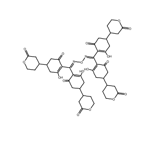 O=C1CC(C2CC(=O)C(C(=NON=C(C3=C(O)CC(C4CCOC(=O)C4)CC3=O)C3=C(O)CC(C4CCOC(=O)C4)CC3=O)C3=C(O)CC(C4CCOC(=O)C4)CC3=O)=C(O)C2)CCO1